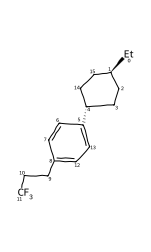 CC[C@H]1CC[C@H](c2ccc(CCC(F)(F)F)cc2)CC1